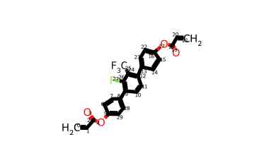 C=CC(=O)Oc1ccc(-c2ccc(-c3ccc(OC(=O)C=C)cc3)c(C(F)(F)F)c2F)cc1